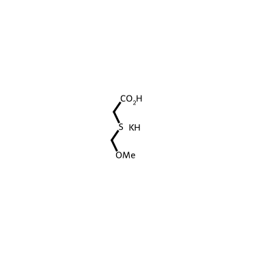 COCSCC(=O)O.[KH]